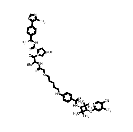 Cc1ncsc1-c1ccc([C@H](C)NC(=O)[C@@H]2C[C@@H](O)CN2C(=O)C(NC(=O)COCCCCCNc2ccc(C(=O)N[C@H]3C(C)(C)[C@H](Oc4cc(C(F)(F)F)c(C#N)cn4)C3(C)C)cc2)C(C)(C)C)cc1